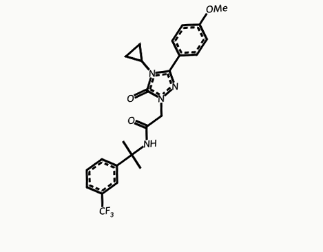 COc1ccc(-c2nn(CC(=O)NC(C)(C)c3cccc(C(F)(F)F)c3)c(=O)n2C2CC2)cc1